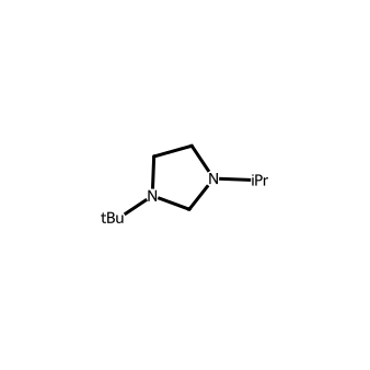 CC(C)N1CCN(C(C)(C)C)C1